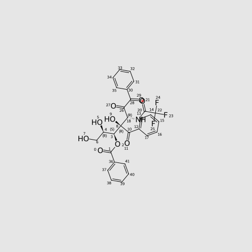 O=C(O[C@@H]([C@H](O)CO)[C@@](O)(C(=O)c1ccccc1)[C@@H](NC(=O)C(F)(F)F)C(=O)C(=O)c1ccccc1)c1ccccc1